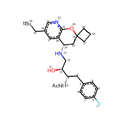 CC(=O)N[C@@H](Cc1ccc(F)cc1)[C@@H](O)CN[C@H]1CC2(CCC2)Oc2ncc(CC(C)(C)C)cc21